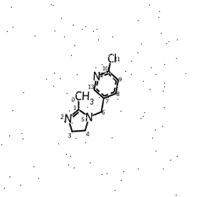 CC1=NCCN1Cc1ccc(Cl)nc1